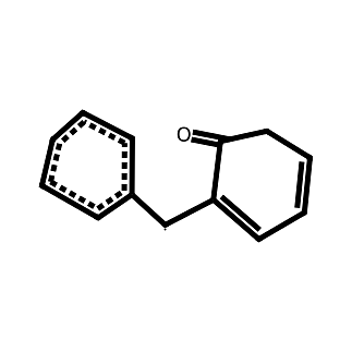 O=C1CC=CC=C1[CH]c1ccccc1